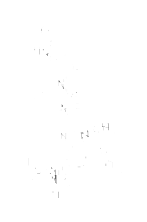 COc1cc(C(=O)N2C[C@H]3CC[C@@H]2[C@@H]3N)cc2nc(-c3cc4ccc(-c5ccc(=O)[nH]c5)nc4n3CC3CC3)n(C)c12